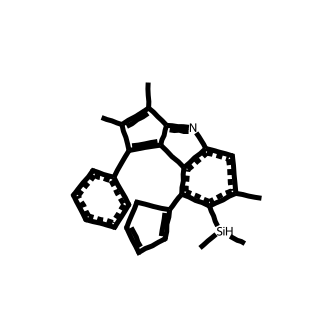 CC1=C(C)C(c2ccccc2)=C2C1=Nc1cc(C)c([SiH](C)C)c(C3=CC=CC3)c12